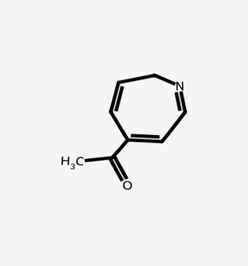 CC(=O)C1=CC=NCC=C1